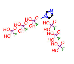 Cn1ccnc1.O=P(O)(O)F.O=P(O)(O)F.O=P(O)(O)F.O=P(O)(O)F.O=P(O)(O)F.O=P(O)(O)F